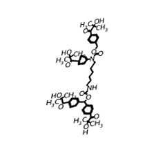 CC(C)(O)C(=O)c1ccc(COC(=O)N(CCCCCCNC(=O)OC(c2ccc(C(=O)C(C)(C)O)cc2)c2ccc(C(=O)C(C)(C)O)cc2)c2ccc(C(=O)C(C)(C)O)cc2)cc1